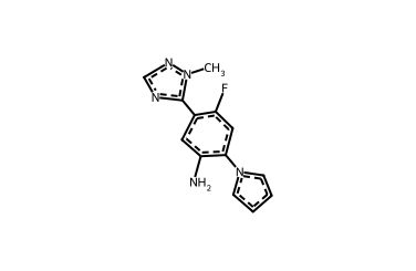 Cn1ncnc1-c1cc(N)c(-n2cccc2)cc1F